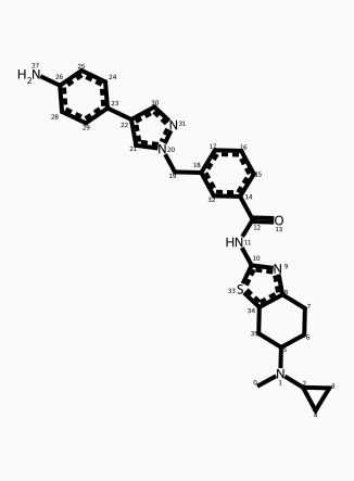 CN(C1CC1)C1CCc2nc(NC(=O)c3cccc(Cn4cc(-c5ccc(N)cc5)cn4)c3)sc2C1